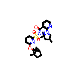 CC1CN(c2ncccc2C(=O)NS(=O)(=O)c2cccc(OC3CC4CCC3(C)C4(C)C)n2)C(C)(C)C1